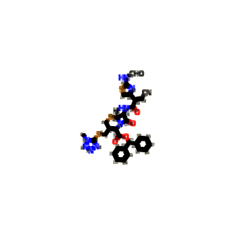 Cn1nnnc1SCC1=C(C(=O)OC(c2ccccc2)c2ccccc2)N2C(=O)C(NC(=O)C(=CC#N)c3csc(NC=O)n3)[C@@H]2SC1